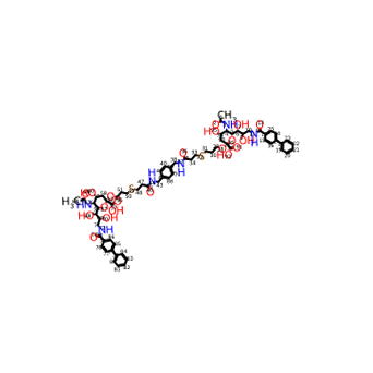 CC(=O)N[C@H]1[C@H]([C@H](O)[C@H](O)CNC(=O)c2ccc(-c3ccccc3)cc2)O[C@@](OCCCSCCC(=O)NCc2ccc(CNC(=O)CCSCCCO[C@]3(C(=O)O)C[C@H](O)[C@@H](NC(C)=O)[C@H]([C@H](O)[C@H](O)CNC(=O)c4ccc(-c5ccccc5)cc4)O3)cc2)(C(=O)O)C[C@@H]1O